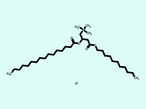 CCCCCCCCCCCCCCCC(=O)OC(CC(=O)OCCCCCCCCCCC)C[N+](C)(C)C.[Cl-]